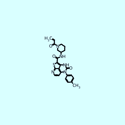 C=CC(=O)N1CCCC(NC(=O)c2sc3nccc4c3c2NC(=O)N4c2ccc(C)cc2)C1